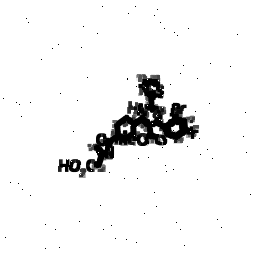 COC(=O)C1=C(C2CCC(c3nc(CC(=O)O)co3)CC2)NC(c2nccs2)=NC1c1ccc(F)cc1Br